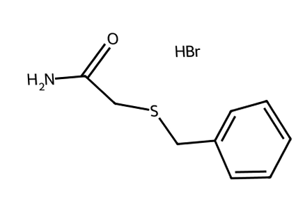 Br.NC(=O)CSCc1ccccc1